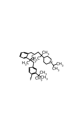 CC(C)N1CCC(C(C)(C)CCCc2ccccc2C(C)(C)Cc2ccc(F)c(C(C)(C)C)c2)CC1